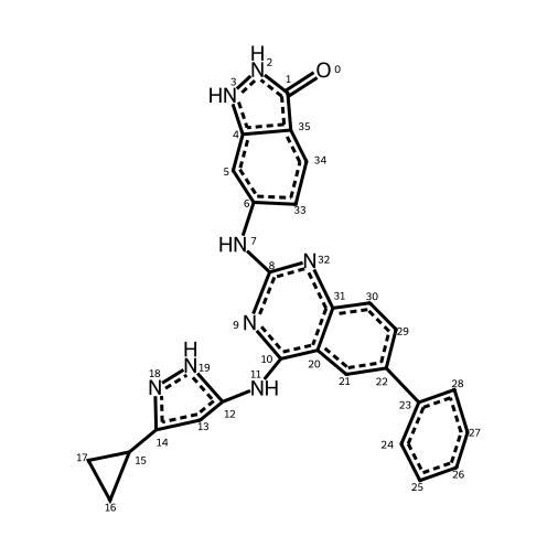 O=c1[nH][nH]c2cc(Nc3nc(Nc4cc(C5CC5)n[nH]4)c4cc(-c5ccccc5)ccc4n3)ccc12